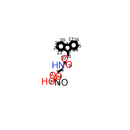 O=NP(=O)(O)OCCNC(=O)OCC1c2ccccc2-c2ccccc21